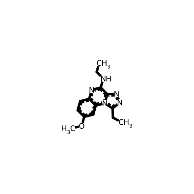 CCNc1nc2ccc(OC)cc2n2c(CC)nnc12